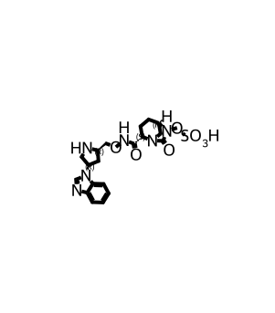 O=C(NOC[C@H]1C[C@@H](n2cnc3ccccc32)CN1)[C@@H]1CC[C@@H]2CN1C(=O)N2OS(=O)(=O)O